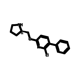 Clc1nc(OC[C@H]2CCCN2)ccc1-c1ccccc1